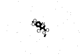 CCOC(=O)c1cnc2cc3c(cc2c1Cl)OCO3